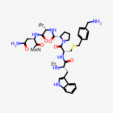 CCN[C@@H](Cc1c[nH]c2ccccc12)C(=O)N[C@@H](CSCc1ccc(CN)cc1)C(=O)N1CCC[C@H]1C(=O)N[C@H](C(=O)N[C@H](CC(N)=O)C(=O)NC)C(C)C